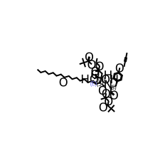 CC#CCOc1ccc(C[C@H](NC(=O)[C@@H](/C=C/CCCCCCC(=O)CCCCCCC)[C@@](O)(CC(=O)OC(C)OC(=O)C(C)(C)C)C(=O)O)C(=O)OC(C)OC(=O)C(C)(C)C)cc1